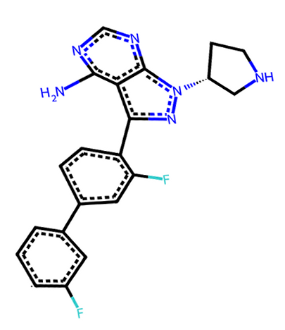 Nc1ncnc2c1c(-c1ccc(-c3cc[c]c(F)c3)cc1F)nn2[C@@H]1CCNC1